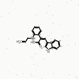 C=CCNc1ccccc1C(=Cc1c[nH]c2ccccc12)C(=O)O